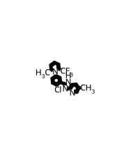 Cc1cnc2nc(-c3cc(N4C(C(F)(F)F)=CC=CC4C)ccc3Cl)[nH]c2c1